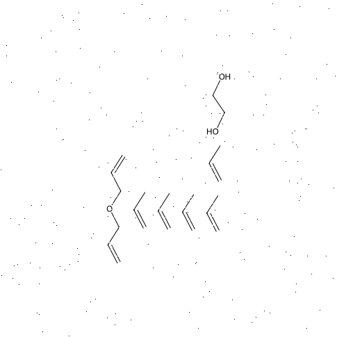 C=CC.C=CC.C=CC.C=CC.C=CC.C=CCOCC=C.OCCO